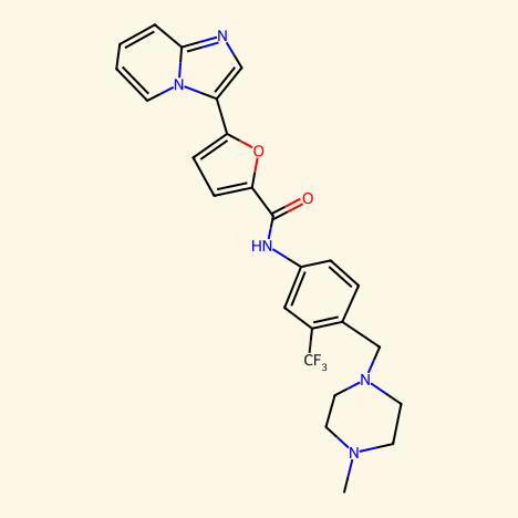 CN1CCN(Cc2ccc(NC(=O)c3ccc(-c4cnc5ccccn45)o3)cc2C(F)(F)F)CC1